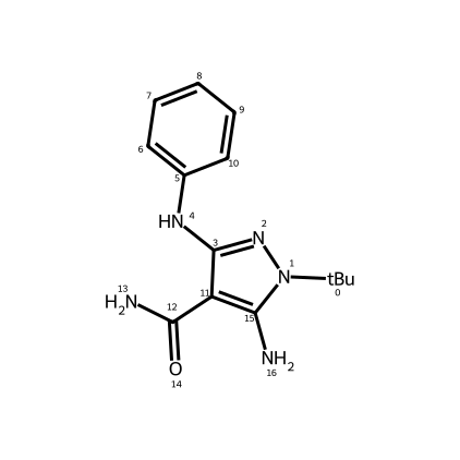 CC(C)(C)n1nc(Nc2ccccc2)c(C(N)=O)c1N